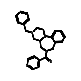 O=C(c1ccncc1)N1Cc2ccccc2N2CCN(Cc3ccccc3)CC2C1